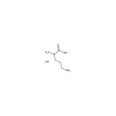 CN(CCCN)C(=O)O.Cl